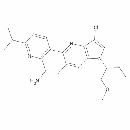 CC[C@H](COC)n1cc(Cl)c2nc(-c3ccc(C(C)C)nc3CN)c(C)cc21